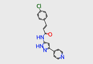 O=C(C=Cc1ccc(Cl)cc1)Nc1cc(-c2ccncc2)n[nH]1